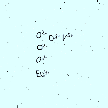 [Eu+3].[O-2].[O-2].[O-2].[O-2].[V+5]